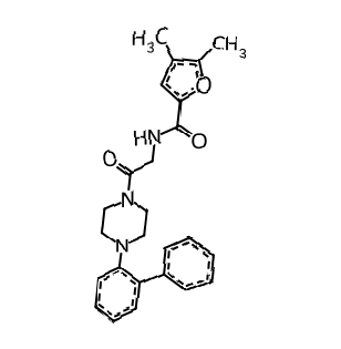 Cc1cc(C(=O)NCC(=O)N2CCN(c3ccccc3-c3ccccc3)CC2)oc1C